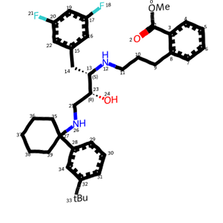 COC(=O)c1ccccc1CCCN[C@@H](Cc1cc(F)cc(F)c1)[C@H](O)CNC1(c2cccc(C(C)(C)C)c2)CCCCC1